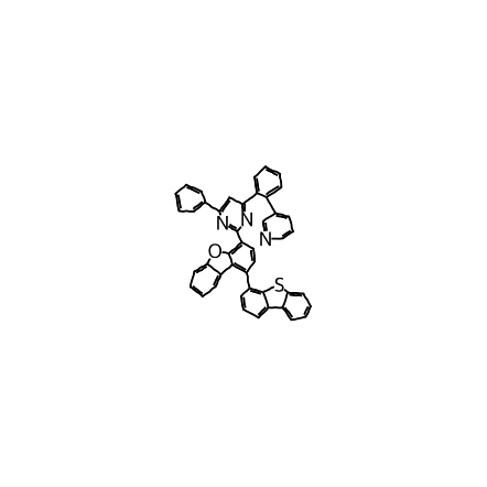 c1ccc(-c2cc(-c3ccccc3-c3cccnc3)nc(-c3ccc(-c4cccc5c4sc4ccccc45)c4c3oc3ccccc34)n2)cc1